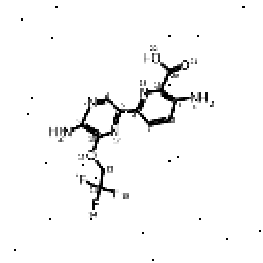 Nc1ccc(-c2cnc(N)c(OCC(F)(F)F)n2)nc1C(=O)O